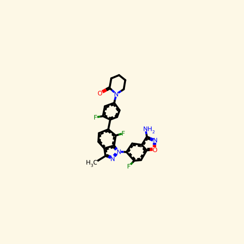 Cc1nn(-c2cc3c(N)noc3cc2F)c2c(F)c(-c3ccc(N4CCCCC4=O)cc3F)ccc12